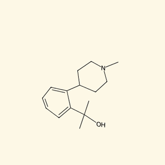 CN1CCC(c2ccccc2C(C)(C)O)CC1